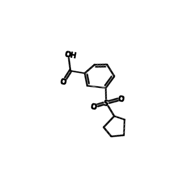 O=C(O)c1cccc(S(=O)(=O)C2CCCC2)c1